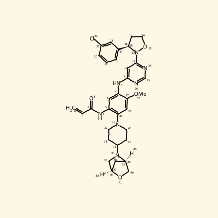 C=CC(=O)Nc1cc(Nc2cc(N3OCC[C@@H]3c3cccc(Cl)c3)ncn2)c(OC)cc1N1CCC(N2C[C@H]3C[C@@H]2CO3)CC1